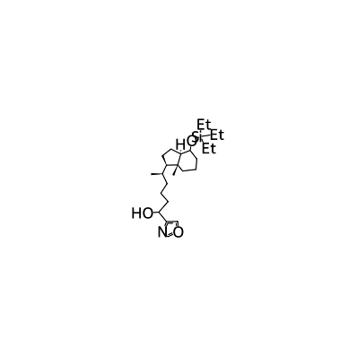 CC[Si](CC)(CC)OC1CCC[C@]2(C)[C@@H]([C@H](C)CCCC(O)c3cocn3)CC[C@@H]12